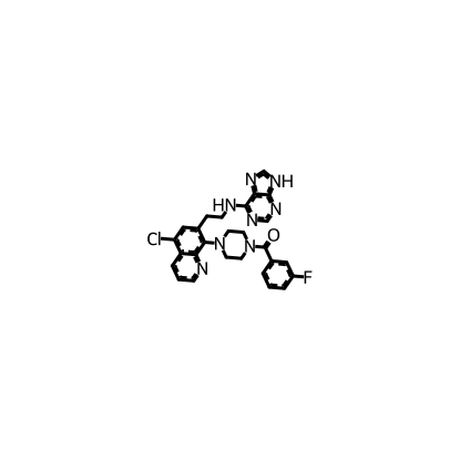 O=C(c1cccc(F)c1)N1CCN(c2c(CCNc3ncnc4[nH]cnc34)cc(Cl)c3cccnc23)CC1